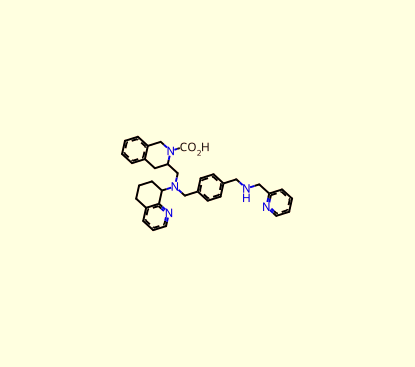 O=C(O)N1Cc2ccccc2CC1CN(Cc1ccc(CNCc2ccccn2)cc1)C1CCCc2cccnc21